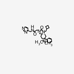 CN(C)[C@]1(c2ccccc2)CC[C@]2(CC1)CN(CC(=O)NCc1ccncn1)C(=O)N2CC1CCC1